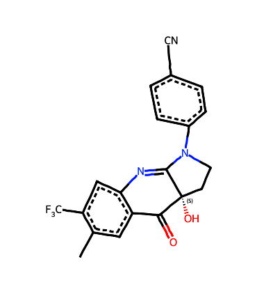 Cc1cc2c(cc1C(F)(F)F)N=C1N(c3ccc(C#N)cc3)CC[C@@]1(O)C2=O